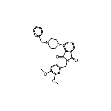 COc1ccc(CN2C(=O)c3cccc(N4CCN(Cc5ccccn5)CC4)c3C2=O)cc1OC